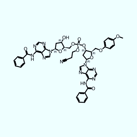 COc1ccc(OC[C@H]2O[C@@H](n3cnc4c(NC(=O)c5ccccc5)ncnc43)C[C@H]2OP(=O)(OCCC#N)OC[C@H]2O[C@@H](n3cnc4c(NC(=O)c5ccccc5)ncnc43)C[C@H]2O)cc1